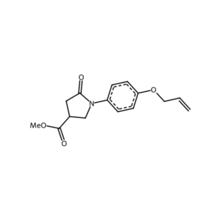 C=CCOc1ccc(N2CC(C(=O)OC)CC2=O)cc1